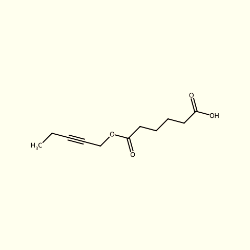 CCC#CCOC(=O)CCCCC(=O)O